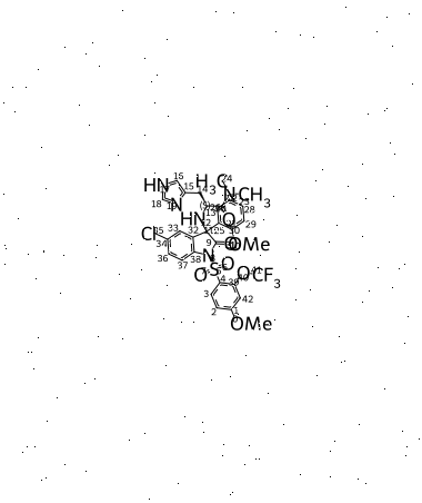 COc1ccc(S(=O)(=O)N2C(=O)C(N[C@@H](Cc3c[nH]cn3)C(=O)N(C)C)(c3ccccc3OC)c3cc(Cl)ccc32)c(OC(F)(F)F)c1